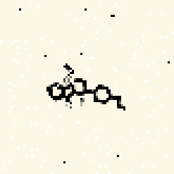 CCCC1CCC(C2CCC(OCC)(c3ccccc3)C(C=O)C2F)CC1